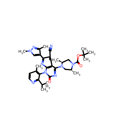 Cc1ccnc(C(C)C)c1-n1c(=O)nc(N2C[C@@H](C)N(C(=O)OC(C)(C)C)C[C@@H]2C)c2cc(C#N)c(-c3cn(C)nc3C)nc21